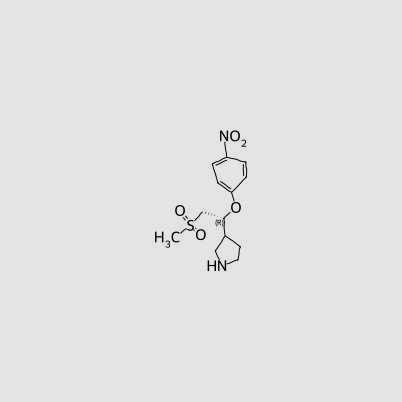 CS(=O)(=O)C[C@H](Oc1ccc([N+](=O)[O-])cc1)C1CCNC1